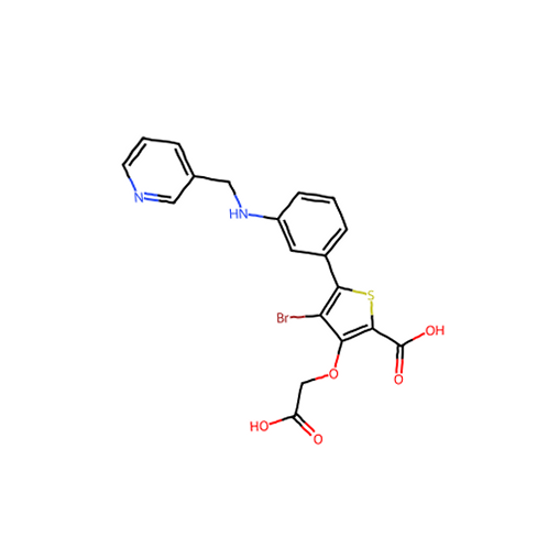 O=C(O)COc1c(C(=O)O)sc(-c2cccc(NCc3cccnc3)c2)c1Br